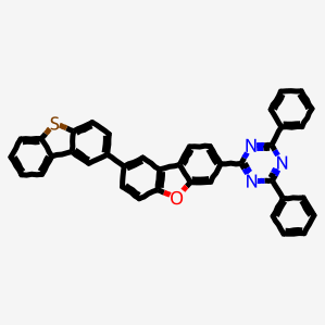 c1ccc(-c2nc(-c3ccccc3)nc(-c3ccc4c(c3)oc3ccc(-c5ccc6sc7ccccc7c6c5)cc34)n2)cc1